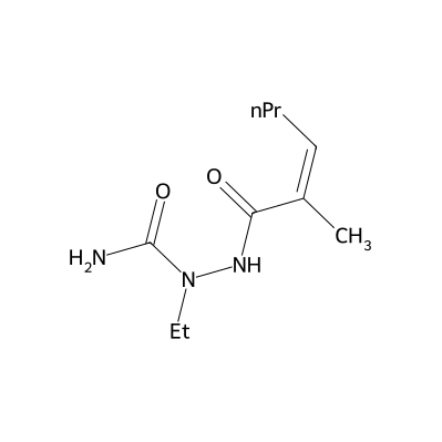 CCCC=C(C)C(=O)NN(CC)C(N)=O